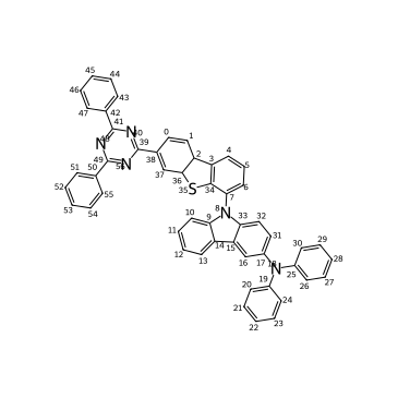 C1=CC2c3cccc(-n4c5ccccc5c5cc(N(c6ccccc6)c6ccccc6)ccc54)c3SC2C=C1c1nc(-c2ccccc2)nc(-c2ccccc2)n1